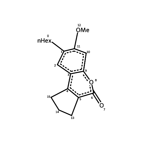 CCCCCCc1cc2c3c(c(=O)oc2cc1OC)CCC3